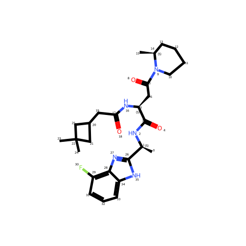 C[C@H](NC(=O)[C@H](CC(=O)N1CCCC[C@@H]1C)NC(=O)CC1CC(C)(C)C1)c1nc2c(F)cccc2[nH]1